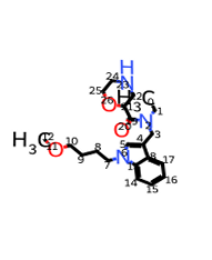 CCN(Cc1cn(CCCCOC)c2ccccc12)C(=O)C1CNCCO1